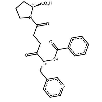 O=C(N[C@H](Cc1cccnc1)C(=O)CCC(=O)N1CCC[C@H]1C(=O)O)c1ccccc1